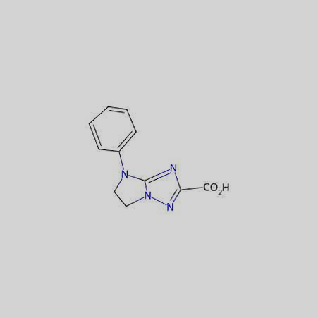 O=C(O)c1nc2n(n1)CCN2c1ccccc1